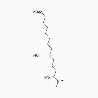 CCCCCCCCCCCCCCCCCCCCCC(O)N(C)C.Cl